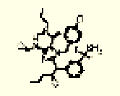 BC(F)(F)c1cccc(C(C(=O)CCC)c2nc(NC=O)c(C(=C)N(C)CCC)n2Cc2ccc(Cl)cc2)c1